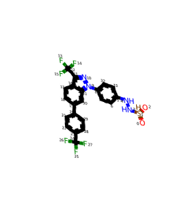 O=[SH](=O)NNc1ccc(-n2nc(C(F)(F)F)c3ccc(-c4ccc(C(F)(F)F)cc4)cc32)cc1